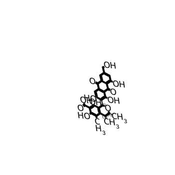 Cc1c(O)c(C(=O)O)c(O)c2c1[C@H](C)[C@@H](C)O[C@@H]2c1c(O)cc2c(c1O)C(=O)c1c(O)cc(CO)cc1C2=O